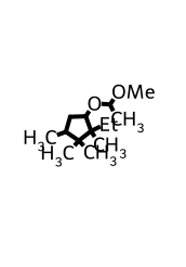 CCC1(C)C(OC(C)OC)CC(C)C1(C)C